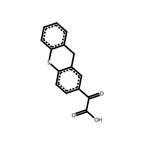 O=C(O)C(=O)c1ccc2c(c1)Cc1ccccc1S2